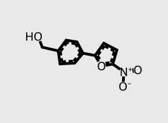 O=[N+]([O-])c1ccc(-c2ccc(CO)cc2)o1